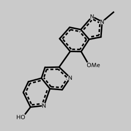 COc1c(-c2cc3ccc(O)nc3cn2)ccc2nn(C)cc12